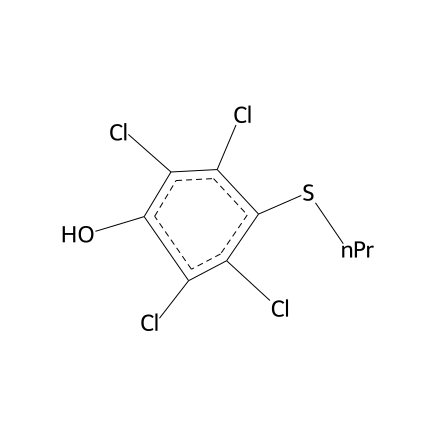 CCCSc1c(Cl)c(Cl)c(O)c(Cl)c1Cl